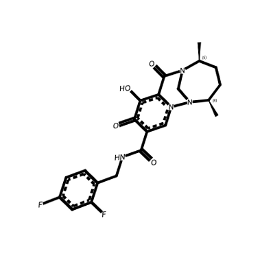 C[C@@H]1CC[C@H](C)N2CN1n1cc(C(=O)NCc3ccc(F)cc3F)c(=O)c(O)c1C2=O